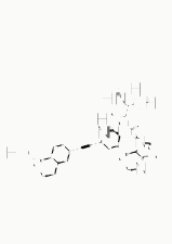 CNC(C)C(=O)Nc1cc(-c2ncnc3ncn(C)c23)cc(C#Cc2ccc3c(C)nccc3c2)n1